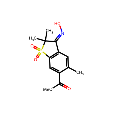 COC(=O)c1cc2c(cc1C)C(=NO)C(C)(C)S2(=O)=O